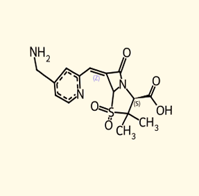 CC1(C)[C@H](C(=O)O)N2C(=O)/C(=C/c3cc(CN)ccn3)C2S1(=O)=O